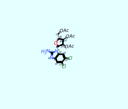 CC(=O)OC[C@H]1O[C@@H](n2c(N)nc3cc(Cl)c(Cl)cc32)[C@H](OC(C)=O)[C@@H]1OC(C)=O